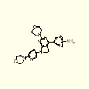 Nc1ncc(-c2nc(N3CCOCC3)nc3c2CCN3c2ccc(N3CCOCC3)nc2)cn1